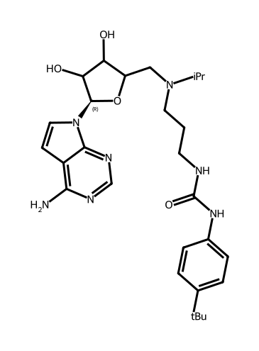 CC(C)N(CCCNC(=O)Nc1ccc(C(C)(C)C)cc1)CC1O[C@@H](n2ccc3c(N)ncnc32)C(O)C1O